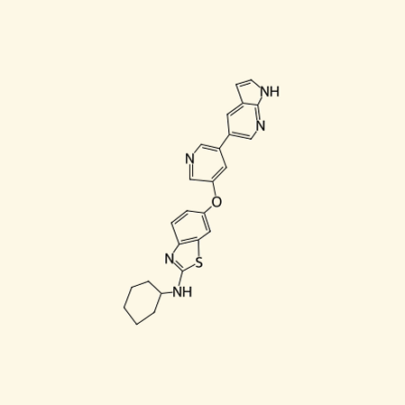 c1cc2cc(-c3cncc(Oc4ccc5nc(NC6CCCCC6)sc5c4)c3)cnc2[nH]1